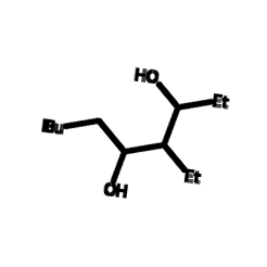 CCC(C)CC(O)C(CC)C(O)CC